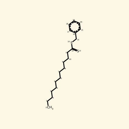 CCCCCCCCCCCCC(=S)SCc1ccccc1